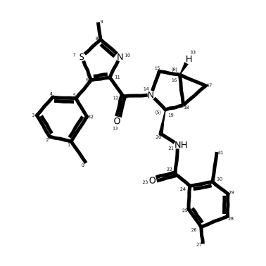 Cc1cccc(-c2sc(C)nc2C(=O)N2C[C@@H]3CC3[C@H]2CNC(=O)c2cc(C)ccc2C)c1